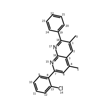 Cc1cc2c(C)cc(-c3ccccc3Cl)nc2nc1-c1ccccc1